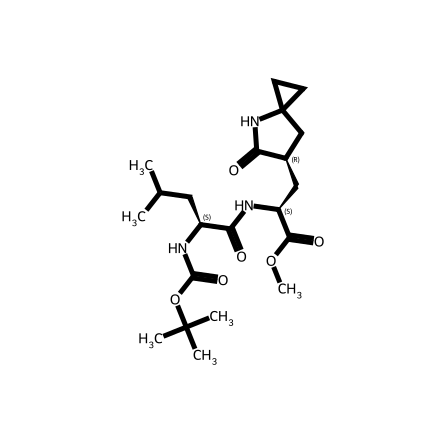 COC(=O)[C@H](C[C@@H]1CC2(CC2)NC1=O)NC(=O)[C@H](CC(C)C)NC(=O)OC(C)(C)C